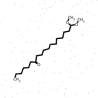 CCCCCCC(=O)CCCCCCCCCCC(OC)OC